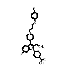 CCc1c(C2CCN(CCCSc3ccc(F)cc3)CC2)c2ccc(F)cc2n1C1CCC(C(=O)O)CC1